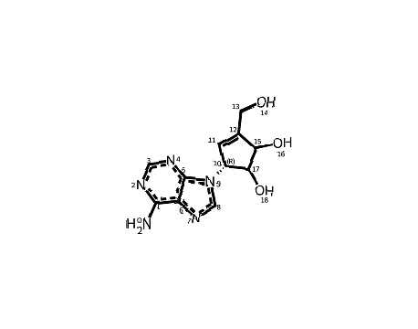 Nc1ncnc2c1ncn2[C@@H]1C=C(CO)C(O)C1O